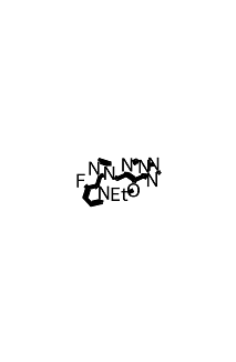 CCOc1c(Cn2ccnc2-c2ncccc2F)ncn2ncnc12